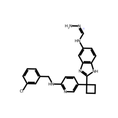 N/N=C\Nc1ccc2[nH]c(C3(c4ccc(NCc5cccc(Cl)c5)nc4)CCC3)nc2c1